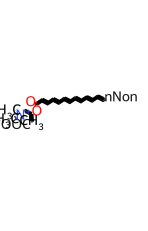 CCCCCCCCCC=CC=CC=CC=CC=CC=CC(=O)OC(CC(=O)[O-])C[N+](C)(C)C